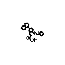 O=C(O)/C=C/c1cc(-c2cccc3ccccc23)ccc1CNCc1ccccc1